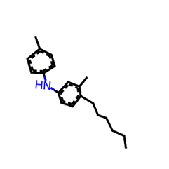 CCCCCCc1ccc(Nc2ccc(C)cc2)cc1C